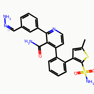 Cc1cc(-c2ccccc2-c2ccnc(-c3cccc(/C=N\N)c3)c2C(N)=O)c(S(N)(=O)=O)s1